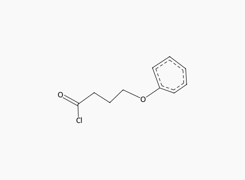 O=C(Cl)CCCOc1ccccc1